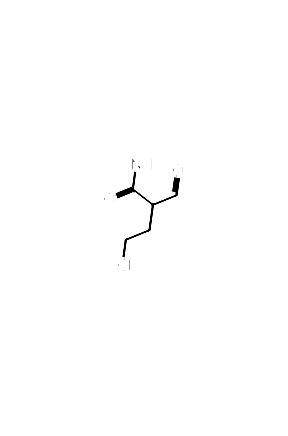 CCCC(C=O)C(N)=O